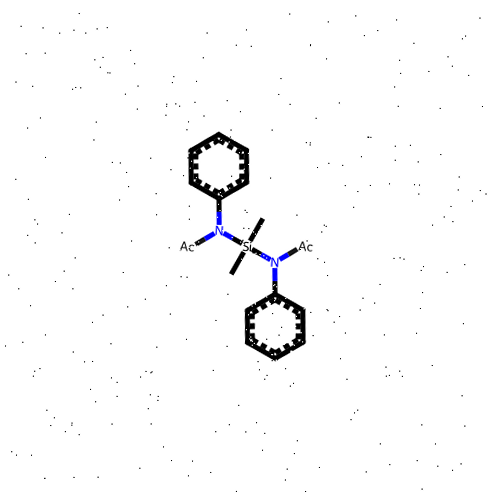 CC(=O)N(c1ccccc1)[Si](C)(C)N(C(C)=O)c1ccccc1